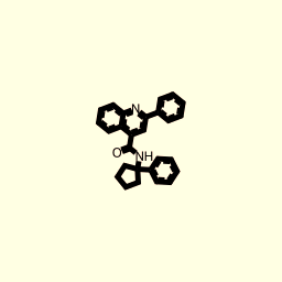 O=C(NC1(c2ccccc2)CCCC1)c1cc(-c2ccccc2)nc2ccccc12